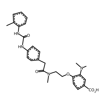 Cc1ccccc1NC(=O)Nc1ccc(CC(=O)N(C)CCOc2ccc(C(=O)O)cc2N(C)C)cc1